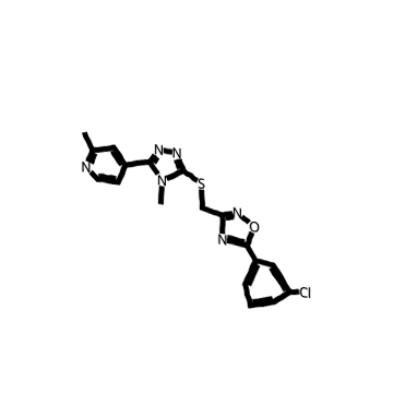 Cc1cc(-c2nnc(SCc3noc(-c4cccc(Cl)c4)n3)n2C)ccn1